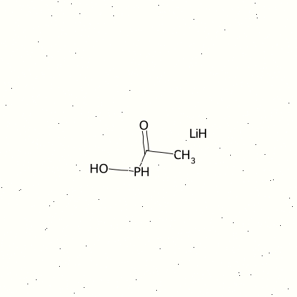 CC(=O)PO.[LiH]